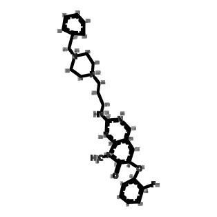 Cn1c(=O)c(Oc2ccccc2F)cc2cnc(NCCCN3CCN(Cc4ccccc4)CC3)nc21